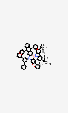 CC(C)(C)c1ccc2c(c1)c1cc(C(C)(C)C)cc3c1n2B1c2cc4c(-c5ccccc5)c5ccccc5c(-c5ccccc5)c4cc2N(c2cc(-c4ccccc4)cc(-c4ccccc4)c2)c2cc4oc5ccccc5c4c-3c21